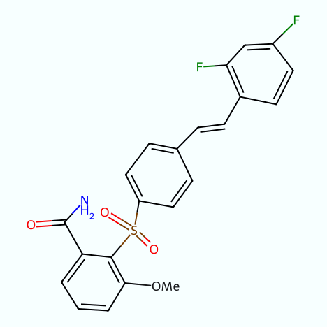 COc1cccc(C(N)=O)c1S(=O)(=O)c1ccc(C=Cc2ccc(F)cc2F)cc1